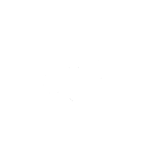 COc1ccc(Br)cc1SCc1ccccc1C#N